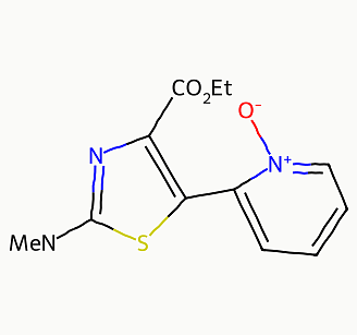 CCOC(=O)c1nc(NC)sc1-c1cccc[n+]1[O-]